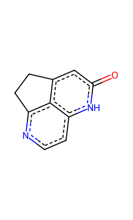 O=c1cc2c3c(nccc3[nH]1)CC2